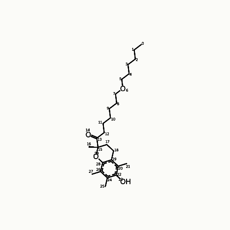 CCCCCCOCCCCCCC(=O)[C@]1(C)CCc2c(C)c(O)c(C)c(C)c2O1